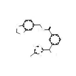 Cc1nc(C(S)c2cccc(C(=O)NCc3ccc4c(c3)OCO4)c2)n[nH]1